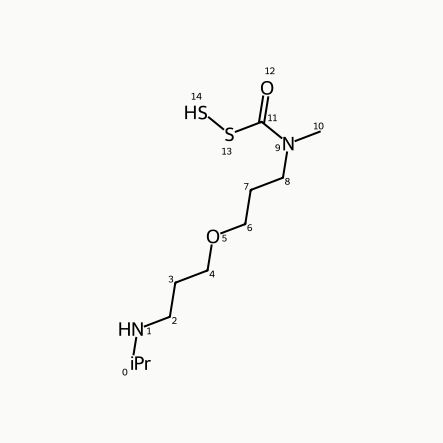 CC(C)NCCCOCCCN(C)C(=O)SS